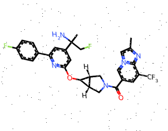 Cc1cn2cc(C(=O)N3C[C@@H]4C(Oc5cc(C(C)(N)CF)cc(-c6ccc(F)cc6)n5)[C@@H]4C3)cc(C(F)(F)F)c2n1